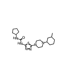 CC1CCCC(N2CCN(c3nnc(NC(=O)NC4CCCC4)s3)CC2)C1